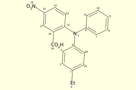 CCc1ccc(N(c2ccccc2)c2ccc([N+](=O)[O-])cc2C(=O)O)cc1